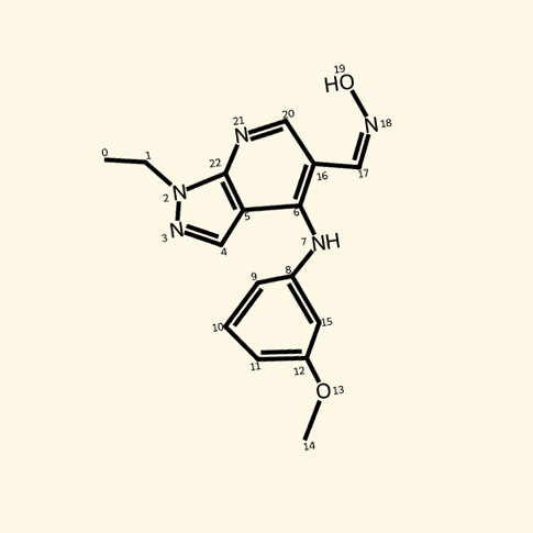 CCn1ncc2c(Nc3cccc(OC)c3)c(/C=N\O)cnc21